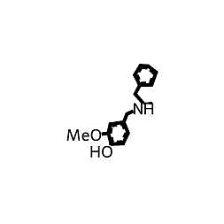 COc1cc(CN[C@H](C)Cc2ccccc2)ccc1O